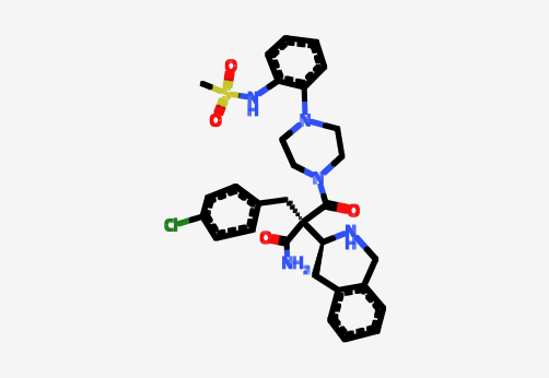 CS(=O)(=O)Nc1ccccc1N1CCN(C(=O)[C@](Cc2ccc(Cl)cc2)(C(N)=O)[C@@H]2Cc3ccccc3CN2)CC1